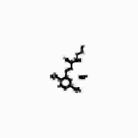 C=CCNC(=O)C=Cc1cc(N)ccc1N.Cl